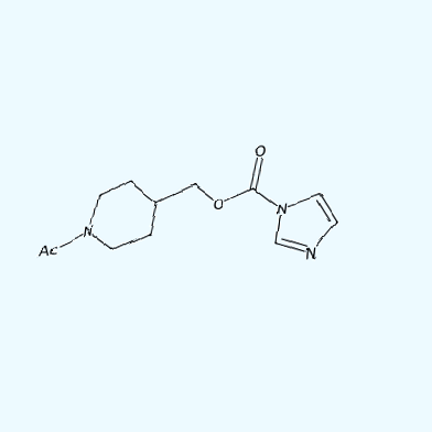 CC(=O)N1CCC(COC(=O)n2ccnc2)CC1